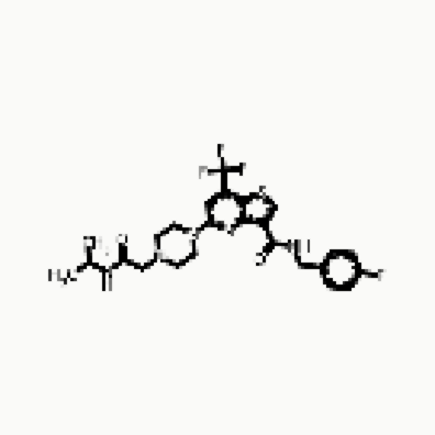 CC(C)NC(=O)CN1CCN(c2cc(C(F)(F)F)c3scc(C(=O)NCc4ccc(F)cc4)c3n2)CC1